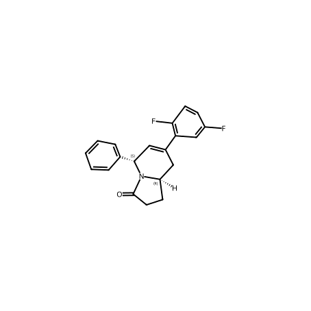 O=C1CC[C@@H]2CC(c3cc(F)ccc3F)=C[C@@H](c3ccccc3)N12